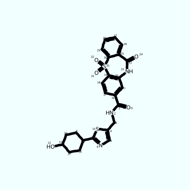 O=C(NCc1cnc(C2CCC(O)CC2)s1)c1ccc2c(c1)NC(=O)c1ccccc1S2(=O)=O